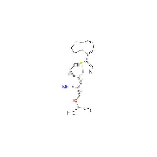 C\C=C/C(=C\C(C#N)=C\OC(C)C)c1ncc(-c2cccc3c2CCC3)s1